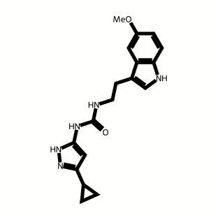 COc1ccc2[nH]cc(CCNC(=O)Nc3cc(C4CC4)n[nH]3)c2c1